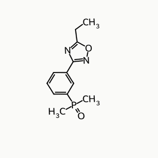 CCc1nc(-c2cccc(P(C)(C)=O)c2)no1